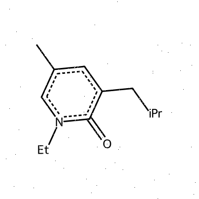 CCn1cc(C)cc(CC(C)C)c1=O